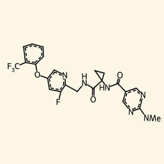 CNc1ncc(C(=O)NC2(C(=O)NCc3ncc(Oc4ccccc4C(F)(F)F)cc3F)CC2)cn1